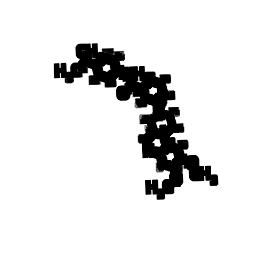 COc1cc2ncc3c(c2cc1OC)CCN(c1cccc(C(=O)Nc2ccc(C(C)C)cc2)c1)C3